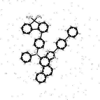 CC1(C)c2ccccc2-c2c(-c3ccc(N(c4ccccc4)c4cc5c6ccccc6ccc5c5nc(-c6ccc(-c7ccccc7)cc6)sc45)cc3)cccc21